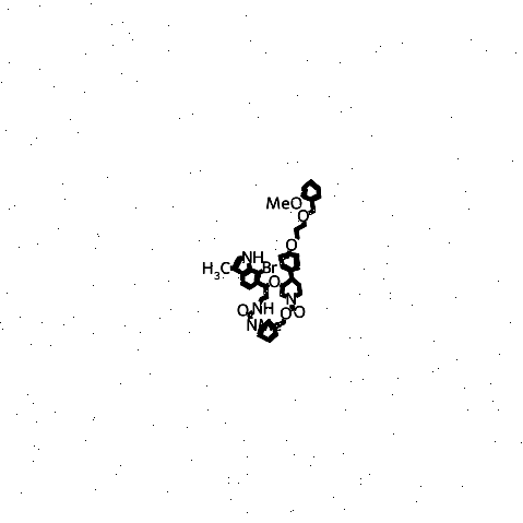 CNC(=O)NCCC(OC1CN(C(=O)OCc2ccccc2)CCC1c1ccc(OCCCOCc2ccccc2OC)cc1)c1ccc2c(C)c[nH]c2c1Br